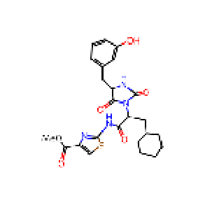 COC(=O)c1csc(NC(=O)C(CC2CCCCC2)N2C(=O)NC(Cc3cccc(O)c3)C2=O)n1